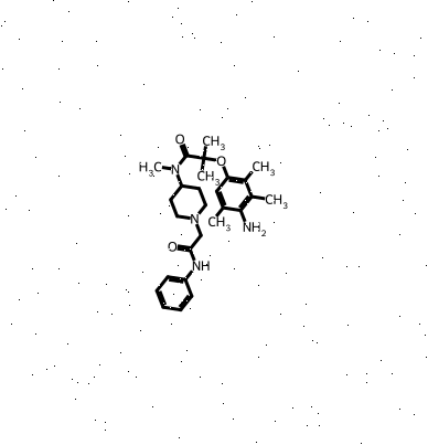 Cc1cc(OC(C)(C)C(=O)N(C)C2CCN(CC(=O)Nc3ccccc3)CC2)c(C)c(C)c1N